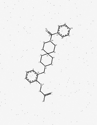 C=C(C)COc1ccccc1CN1CCC2(CC1)CCN(C(=O)c1ccncc1)CC2